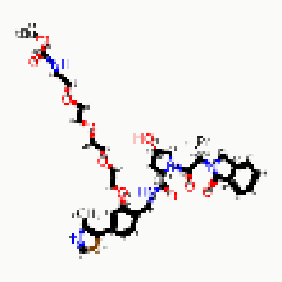 Cc1ncsc1-c1ccc(CNC(=O)[C@@H]2C[C@@H](O)CN2C(=O)[C@H](C(C)C)N2Cc3ccccc3C2=O)c(OCCOCCOCCOCCNC(=O)OC(C)(C)C)c1